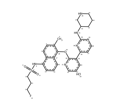 Cc1ccc2c(NS(=O)(=O)CCCF)cccc2c1Oc1ncccc1-c1ccnc(NC2CCCNC2)n1.Cl